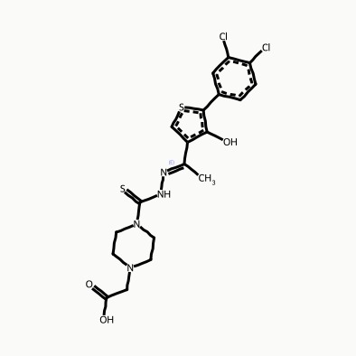 C/C(=N\NC(=S)N1CCN(CC(=O)O)CC1)c1csc(-c2ccc(Cl)c(Cl)c2)c1O